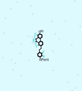 CCCCCc1ccc(CCc2ccc3c(c2F)C(F)(F)C(F)(F)c2c-3ccc(CCC)c2F)c(F)c1F